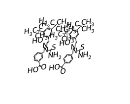 CC(C)(C)c1cc(C=NN(C(N)=S)c2ccc(C(=O)O)cc2)c(O)c(C(C)(C)C)c1.CC(C)(C)c1cc(C=NN(C(N)=S)c2cccc(C(=O)O)c2)c(O)c(C(C)(C)C)c1